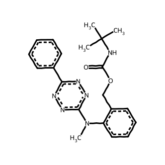 CN(c1nnc(-c2ccccc2)nn1)c1ccccc1COC(=O)NC(C)(C)C